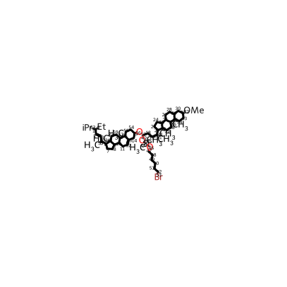 CCC(/C=C/C(C)C1CCC2C3CC=C4CC(OC(CC[C@H](C)C5CCC6C7CCC8C[C@@H](OC)CC[C@@]8(C)C7CC[C@]65C)O[Si](C)(C)OCCCCCCBr)CCC4(C)C3CCC12C)C(C)C